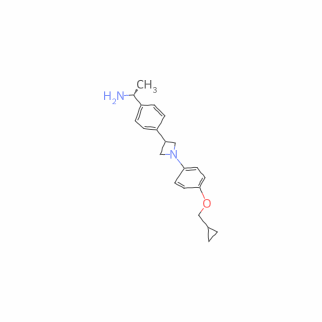 C[C@H](N)c1ccc(C2CN(c3ccc(OCC4CC4)cc3)C2)cc1